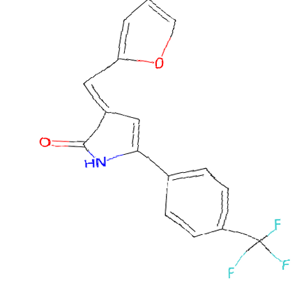 O=C1NC(c2ccc(C(F)(F)F)cc2)=CC1=Cc1ccco1